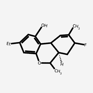 CCc1cc(O)c2c(c1)OC(C)[C@@H]1CC(F)C(C)=CC21